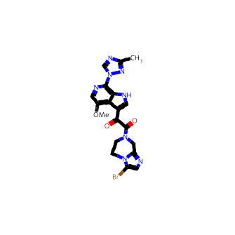 COc1cnc(-n2cnc(C)n2)c2[nH]cc(C(=O)C(=O)N3CCn4c(Br)cnc4C3)c12